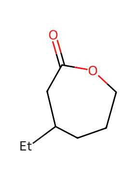 CCC1CCCOC(=O)C1